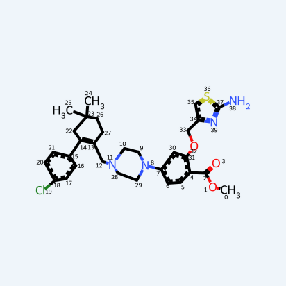 COC(=O)c1ccc(N2CCN(CC3=C(c4ccc(Cl)cc4)CC(C)(C)CC3)CC2)cc1OCc1csc(N)n1